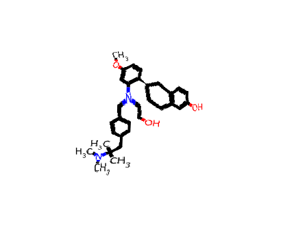 COc1ccc([C@@H]2CCc3cc(O)ccc3C2)c(N(CCO)Cc2ccc(CC(C)(C)N(C)C)cc2)c1